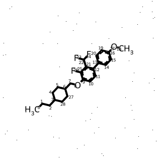 CCCC1CCC(COc2ccc(-c3ccc(OC)cc3)c(C(F)F)c2F)CC1